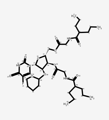 CCCC(CCC)C(=O)NCC(=O)OC[C@H]1O[C@@H](n2cc(F)c(=O)[nH]c2=O)[C@H](OC2CCCCO2)[C@@H]1OC(=O)CNC(=O)C(CCC)CCC